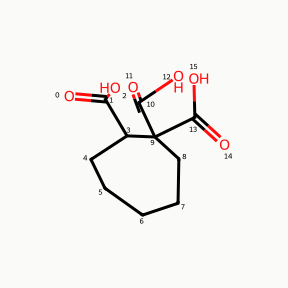 O=C(O)C1CCCCCC1(C(=O)O)C(=O)O